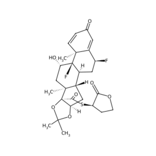 CC1(C)O[C@@H]2C[C@H]3[C@@H]4C[C@H](F)C5=CC(=O)C=C[C@]5(C)[C@@]4(F)[C@@H](O)C[C@]3(C)[C@]2(C(=O)S[C@@H]2CCOC2=O)O1